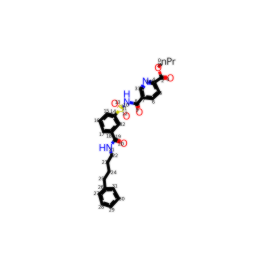 CCCOC(=O)c1ccc(C(=O)NS(=O)(=O)c2cccc(C(=O)NCCCCc3ccccc3)c2)cn1